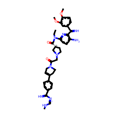 CCN(C(=O)[C@@H]1CCN(CC(=O)N2CC=C(c3ccc(C(=N)/N=C\NC)cc3)CC2)C1)c1ccc(N)c(C(=N)c2ccc(OC)c(OC)c2)n1